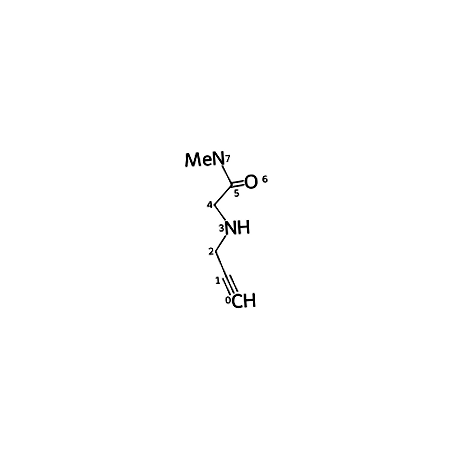 C#CCNCC(=O)NC